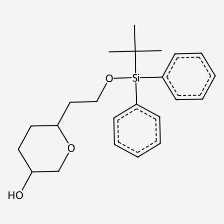 CC(C)(C)[Si](OCCC1CCC(O)CO1)(c1ccccc1)c1ccccc1